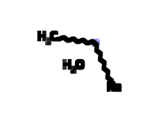 CCCCCCCC/C=C\CCCCCCC[CH2][Na].O